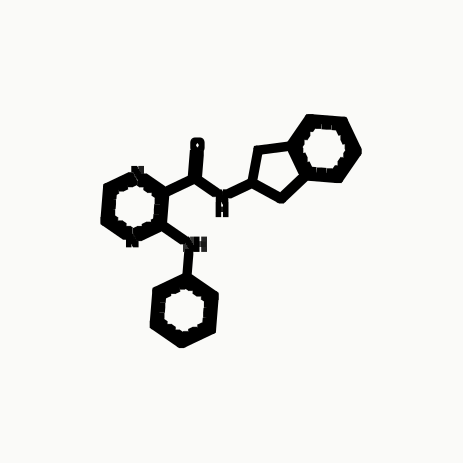 O=C(NC1Cc2ccccc2C1)c1nccnc1Nc1ccccc1